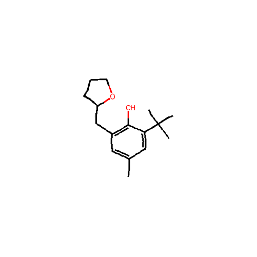 Cc1cc(CC2CCCO2)c(O)c(C(C)(C)C)c1